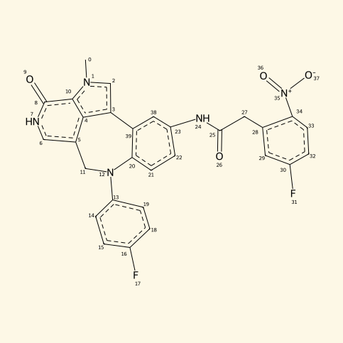 Cn1cc2c3c(c[nH]c(=O)c31)CN(c1ccc(F)cc1)c1ccc(NC(=O)Cc3cc(F)ccc3[N+](=O)[O-])cc1-2